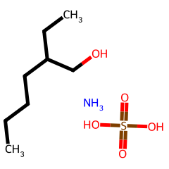 CCCCC(CC)CO.N.O=S(=O)(O)O